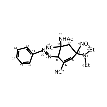 CCN(CC)C1([N+](=O)[O-])C=C(C#N)C(N=Nc2ccccc2)C(C#N)(NC(C)=O)C1